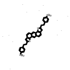 CCCCc1ccc(CCc2cc3ccc4cc5c(ccc6cc(CCc7ccc(CCCC)cc7)sc65)cc4c3s2)cc1